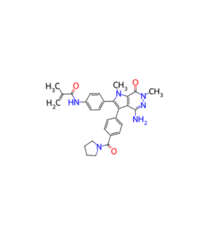 C=C(C)C(=O)Nc1ccc(-c2c(-c3ccc(C(=O)N4CCCC4)cc3)c3c(N)nn(C)c(=O)c3n2C)cc1